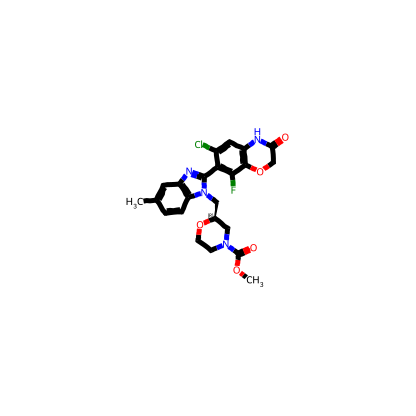 COC(=O)N1CCO[C@@H](Cn2c(-c3c(Cl)cc4c(c3F)OCC(=O)N4)nc3cc(C)ccc32)C1